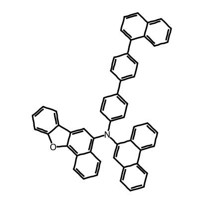 c1ccc2c(-c3ccc(-c4ccc(N(c5cc6ccccc6c6ccccc56)c5cc6c7ccccc7oc6c6ccccc56)cc4)cc3)cccc2c1